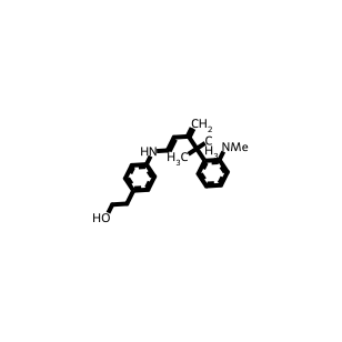 C=C(/C=C/Nc1ccc(CCO)cc1)C(C)(C)c1ccccc1NC